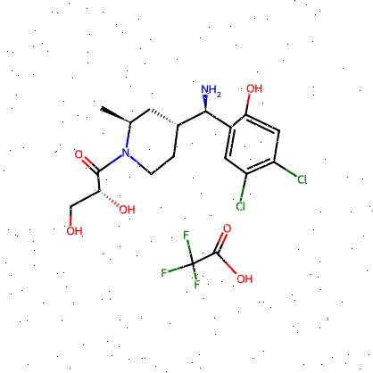 C[C@H]1C[C@H]([C@@H](N)c2cc(Cl)c(Cl)cc2O)CCN1C(=O)[C@H](O)CO.O=C(O)C(F)(F)F